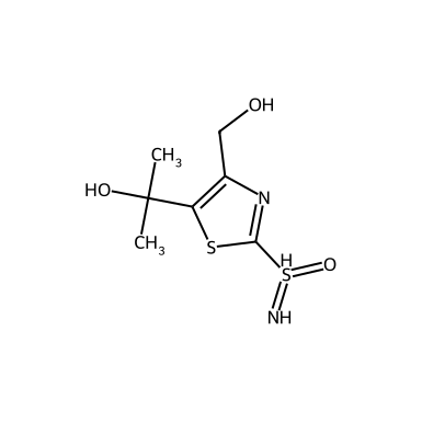 CC(C)(O)c1sc([SH](=N)=O)nc1CO